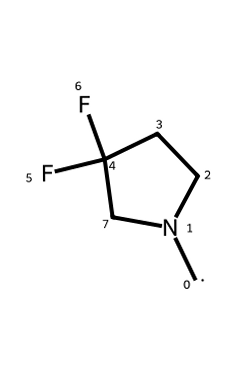 [CH2]N1CCC(F)(F)C1